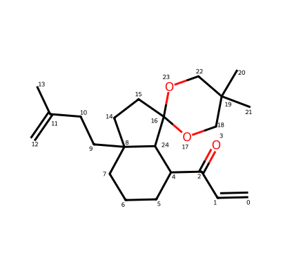 C=CC(=O)C1CCCC2(CCC(=C)C)CCC3(OCC(C)(C)CO3)C12